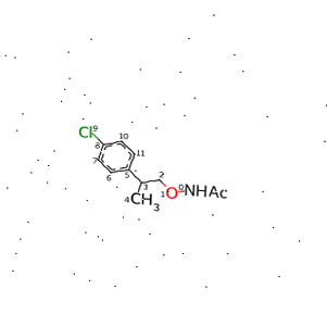 CC(=O)NOCC(C)c1ccc(Cl)cc1